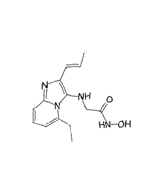 C/C=C/c1nc2cccc(CC)n2c1NCC(=O)NO